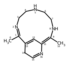 C/C1=N/CCNCCN/C(C)=C2C=C1CC=N\2